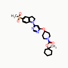 CC1(OC(=O)N2CCC(Oc3cc(N4CCc5cc(S(C)(=O)=O)ccc54)ncn3)CC2)CCCCC1